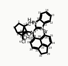 CC12CCC(C(Cl)=C1N(c1nc3ccccc3[nH]1)c1ccc3c4c(ccc(Br)c14)CC3)C2(C)C